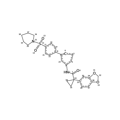 O=C(Nc1cccc(-c2ccc(S(=O)(=O)N3CCCCC3)cc2)c1)C1(c2ccc3c(c2)OCO3)CC1